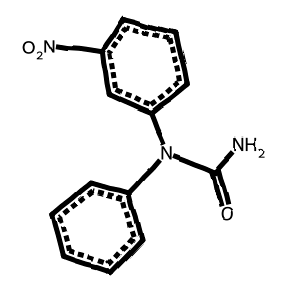 NC(=O)N(c1ccccc1)c1cccc([N+](=O)[O-])c1